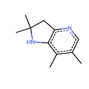 Cc1cnc2c(c1C)NC(C)(C)C2